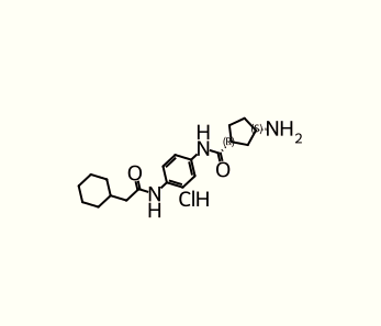 Cl.N[C@H]1CC[C@@H](C(=O)Nc2ccc(NC(=O)CC3CCCCC3)cc2)C1